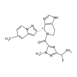 Cc1ccn2nc([C@@H]3c4nc[nH]c4CCN3C(=O)c3nc(C(F)P)nn3C)cc2c1